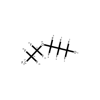 [O]C(F)(F)C(F)(F)C(F)(F)OC(F)(F)C(F)(F)C(F)(F)F